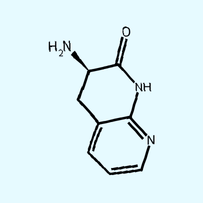 N[C@@H]1Cc2cccnc2NC1=O